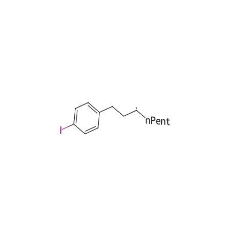 CCCCC[CH]CCc1ccc(I)cc1